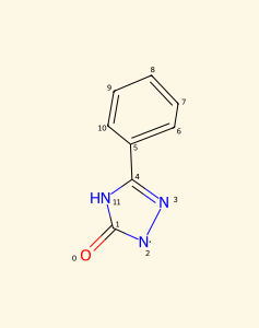 O=C1[N]N=C(c2ccccc2)N1